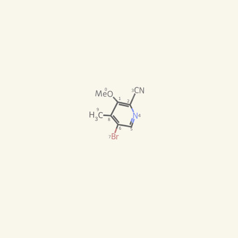 COc1c(C#N)ncc(Br)c1C